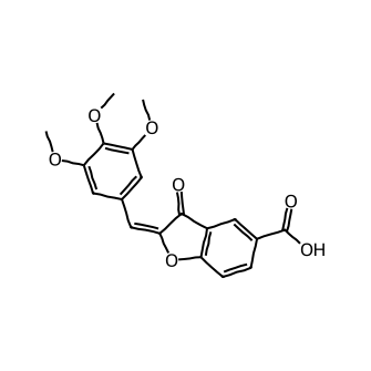 COc1cc(C=C2Oc3ccc(C(=O)O)cc3C2=O)cc(OC)c1OC